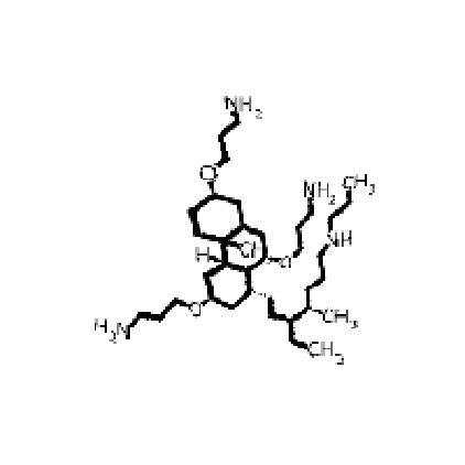 CCCNCCC[C@@H](C)C(CC)CC[C@@H]1C[C@@H](OCCCN)C[C@H]2C1[C@H](OCCCN)CC1C[C@H](OCCCN)CCC12C